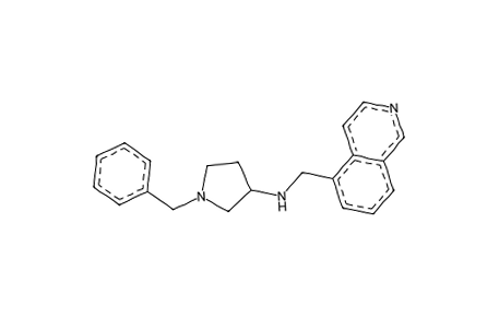 c1ccc(CN2CCC(NCc3cccc4cnccc34)C2)cc1